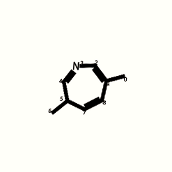 CC1=CN=CC(C)C=C1